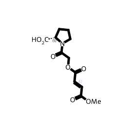 COC(=O)/C=C/C(=O)OCC(=O)N1CCC[C@H]1C(=O)O